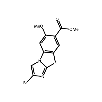 COC(=O)c1cc2sc3nc(Br)cn3c2cc1OC